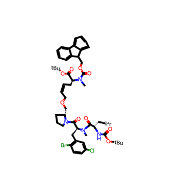 CC(C)C[C@H](NC(=O)OC(C)(C)C)C(=O)N(C)[C@@H](Cc1cc(Cl)ccc1Br)C(=O)N1CCC[C@@H]1COC/C=C\C[C@@H](C(=O)OC(C)(C)C)N(C)C(=O)OCC1c2ccccc2-c2ccccc21